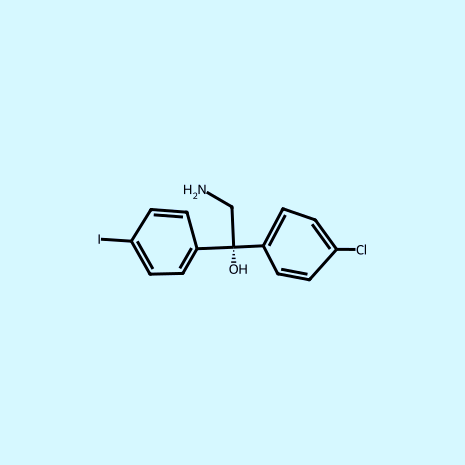 NC[C@@](O)(c1ccc(Cl)cc1)c1ccc(I)cc1